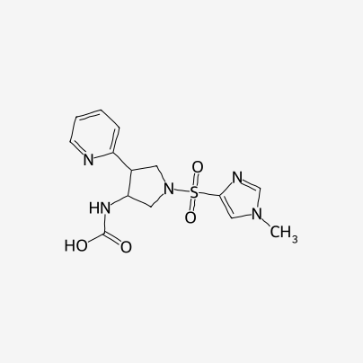 Cn1cnc(S(=O)(=O)N2CC(NC(=O)O)C(c3ccccn3)C2)c1